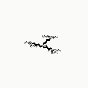 CO[SiH](CCCC[SiH](CCCC[SiH](OC)OC)CCCC[SiH](OC)OC)OC